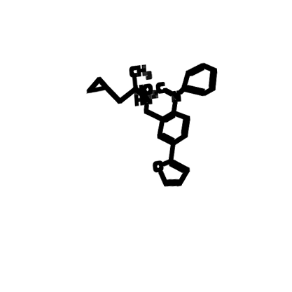 CC(CC1CC1)NCc1cc(-c2ccco2)ccc1N(C(=O)O)c1ccccc1